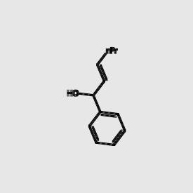 CCCC=CC(O)c1ccccc1